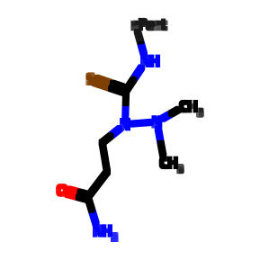 CCCCCNC(=S)N(CCC(N)=O)N(C)C